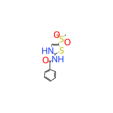 CS(=O)(=O)C1=CNC(NC(=O)c2ccccc2)S1